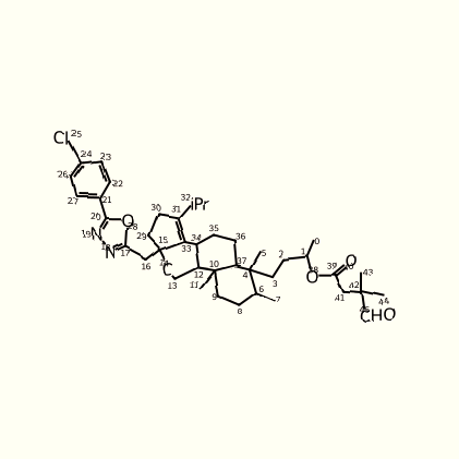 CC(CCC1(C)C(C)CCC2(C)C3CCC4(Cc5nnc(-c6ccc(Cl)cc6)o5)CCC(C(C)C)=C4C3CCC12)OC(=O)CC(C)(C)C=O